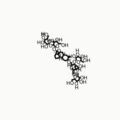 C=C1C[C@@]2(C)CCC3(C)[C@](C)(C(=O)O[C@@H]4OC(CO)[C@@H](O)C(O)C4O[C@@H]4OC(CO)[C@@H](O)C(O)C4O)CCC[C@@]3(C)[C@@H]2CC[C@@]1(C)OC[C@@H]1OC(CO)C2(OC[C@@H]3OC(CO)[C@@H](O)C(O)C3O)CC(C1O[C@@H]1OC(CO)[C@@H](O)C(O)C1O)[C@@H]2O